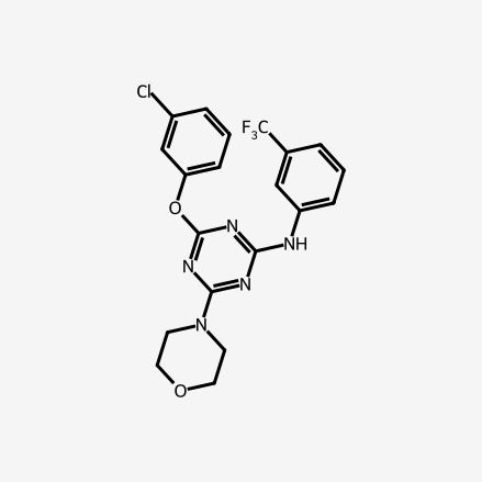 FC(F)(F)c1cccc(Nc2nc(Oc3cccc(Cl)c3)nc(N3CCOCC3)n2)c1